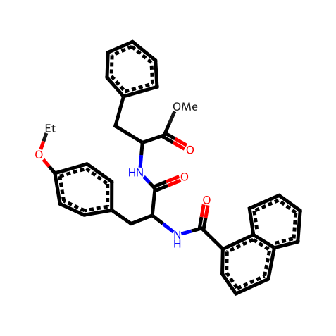 CCOc1ccc(CC(NC(=O)c2cccc3ccccc23)C(=O)NC(Cc2ccccc2)C(=O)OC)cc1